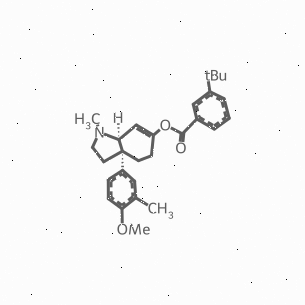 COc1ccc([C@@]23CCC(OC(=O)c4cccc(C(C)(C)C)c4)=C[C@@H]2N(C)CC3)cc1C